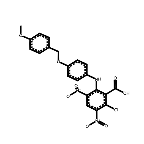 COc1ccc(COc2ccc(Nc3c([N+](=O)[O-])cc([N+](=O)[O-])c(Cl)c3C(=O)O)cc2)cc1